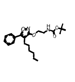 CCCCCCc1c(OCCNC(=O)OC(C)(C)C)noc1-c1ccccc1